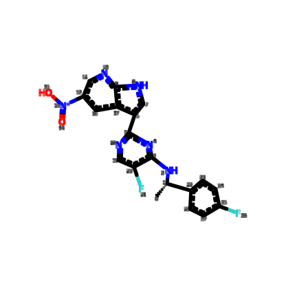 C[C@H](Nc1nc(-c2c[nH]c3ncc([N+](=O)O)cc23)ncc1F)c1ccc(F)cc1